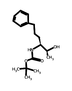 C[C@H](O)[C@H](CCCc1ccccc1)NC(=O)OC(C)(C)C